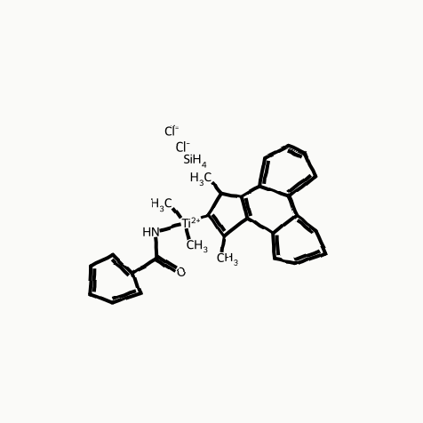 CC1=[C]([Ti+2]([CH3])([CH3])[NH]C(=O)c2ccccc2)C(C)c2c1c1ccccc1c1ccccc21.[Cl-].[Cl-].[SiH4]